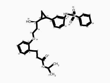 CC(C)OC(=O)CCc1ccccc1OCC[C@@H](O)C1CC1c1cccc(NS(=O)(=O)c2ccccc2)c1